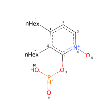 CCCCCCc1cc[n+]([O-])c(O[PH](=O)O)c1CCCCCC